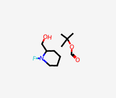 CC(C)(C)OC=O.OCC1CCCCN1F